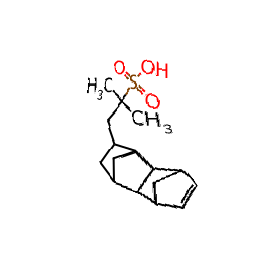 CC(C)(CC1CC2CC1C1C3C=CC(C3)C21)S(=O)(=O)O